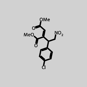 COC(=O)/C=C(\C(=O)OC)C(C[N+](=O)[O-])c1ccc(Cl)cc1